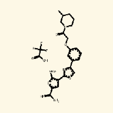 CSc1sc(C(=N)N)cc1-c1nc(-c2cccc(OCC(=O)N3CCCC(C)C3)c2)cs1.O=C(O)C(F)(F)F